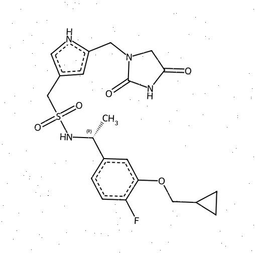 C[C@@H](NS(=O)(=O)Cc1c[nH]c(CN2CC(=O)NC2=O)c1)c1ccc(F)c(OCC2CC2)c1